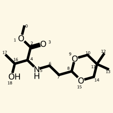 COC(=O)C(NCCC1OCC(C)(C)CO1)C(C)O